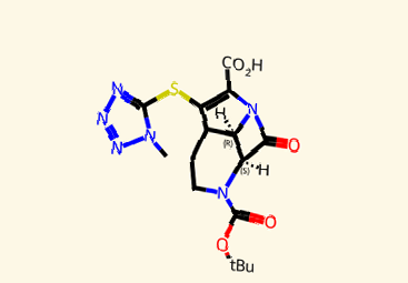 Cn1nnnc1SC1=C(C(=O)O)N2C(=O)[C@@H]3[C@H]2C1CCN3C(=O)OC(C)(C)C